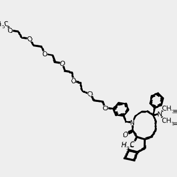 COCCOCCOCCOCCOCCOCCOc1cccc(CN2CCCC(c3ccccc3)(N(C)C)CCCC(CC3CCC3)C(C)C2=O)c1